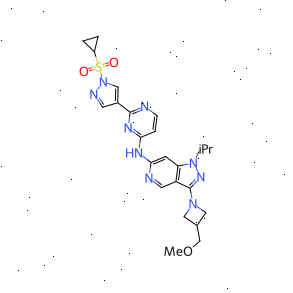 COCC1CN(c2nn(C(C)C)c3cc(Nc4ccnc(-c5cnn(S(=O)(=O)C6CC6)c5)n4)ncc23)C1